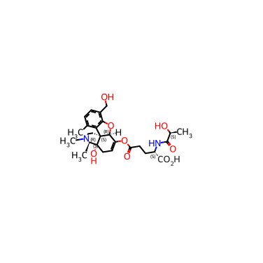 Cc1ccc(CO)c2c1[C@]13CCN(C)[C@H](C)[C@]1(O)CC=C(OC(=O)CC[C@H](NC(=O)[C@H](C)O)C(=O)O)[C@@H]3O2